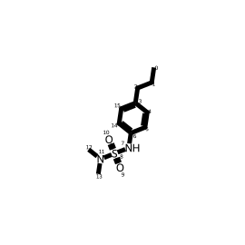 CCCc1ccc(NS(=O)(=O)N(C)C)cc1